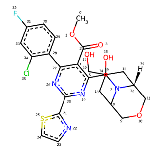 COC(=O)c1c(CN2C3COC[C@H]2CC(O)(CO)C3)nc(-c2nccs2)nc1-c1ccc(F)cc1Cl